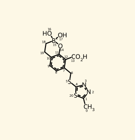 Cc1nnc(SCc2ccc3c(c2C(=O)O)O[B-](O)(O)CC3)s1